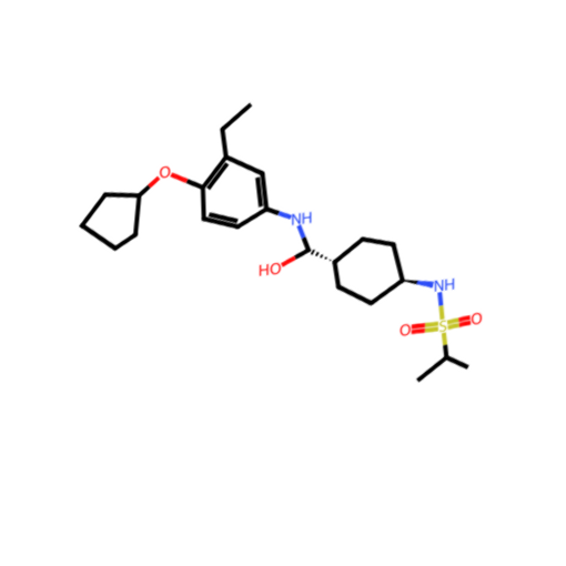 CCc1cc(NC(O)[C@H]2CC[C@H](NS(=O)(=O)C(C)C)CC2)ccc1OC1CCCC1